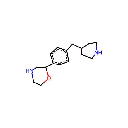 c1cc(C2CNCCO2)ccc1CC1CCNCC1